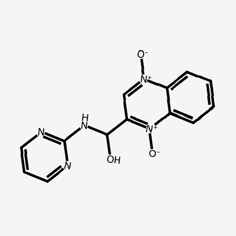 [O-][n+]1cc(C(O)Nc2ncccn2)[n+]([O-])c2ccccc21